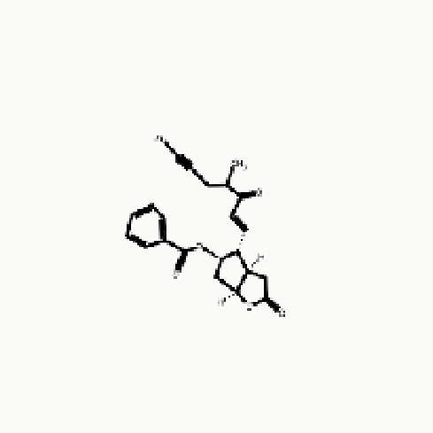 CCC#CCC(C)C(=O)/C=C/[C@@H]1[C@H]2CC(=O)O[C@H]2C[C@H]1OC(=O)c1ccccc1